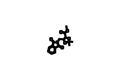 COC(=O)C1OC(C)(C)OC1CN1C(=O)c2ccccc2C1=O